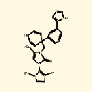 CCCCc1cn(-c2c(F)ccn2C(C)C)c(=O)n1CC1(c2cccc(-c3nnn[nH]3)c2)C=CNC=C1